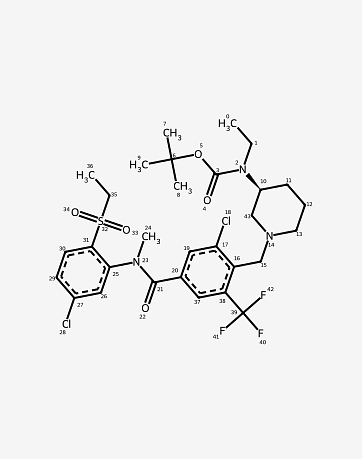 CCN(C(=O)OC(C)(C)C)[C@H]1CCCN(Cc2c(Cl)cc(C(=O)N(C)c3cc(Cl)ccc3S(=O)(=O)CC)cc2C(F)(F)F)C1